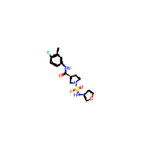 Cc1cc(NC(=O)[C@H]2CCN(S(=O)(=O)N[C@H]3CCOC3)C2)ccc1F